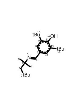 CC(C)(C)CC(C)(C)N=Cc1cc(C(C)(C)C)c(O)c(C(C)(C)C)c1